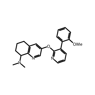 COc1ccccc1-c1cccnc1Oc1cnc2c(c1)CCCC2N(C)C